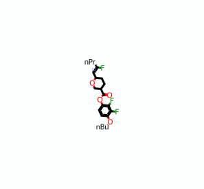 CCCCOc1ccc(OC(=O)C2CCC(/C=C(\F)CCC)OC2)c(F)c1F